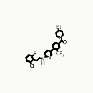 CCC1CCN(C(=O)c2ccc(-c3ccc(NCCc4c(F)cccc4Cl)nc3)c(C(F)(F)F)c2)CC1